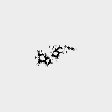 C[C@]1(CON=[N+]=[N-])O[C@@H](n2cnc3c(=O)[nH]c(N)nc32)[C@H](F)[C@@H]1O